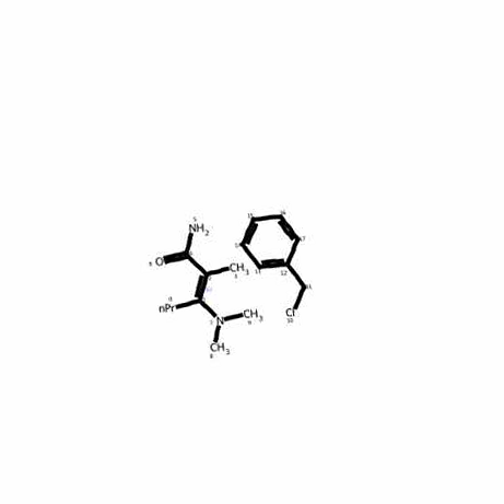 CCC/C(=C(/C)C(N)=O)N(C)C.ClCc1ccccc1